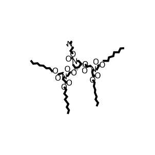 CCCCCCCCOC(=O)CN(CC(=O)OCCCCCCCC)CC(=O)O[C@@H]1C[C@H](OC(=O)CN(CC(=O)OCCCCCCCC)CC(=O)OCCCCCCCC)CN(C(=O)OCCN(C)C)C1